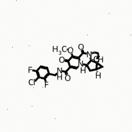 COc1c2n(cc(C(=O)NCc3ccc(F)c(Cl)c3F)c1=O)[C@H]1C[C@@H]3C[C@@H]3[C@]13OCCCN3C2=O